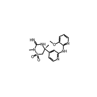 COc1cccnc1Nc1cc([C@]2(C)CS(=O)(=O)N(C)C(=N)N2)ccn1